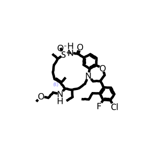 CCCc1c(C2COc3ccc4cc3N(CCC(CC)C(NCCOC)/C(C)=C/CCC(C)[S+]([O-])NC4=O)C2)ccc(Cl)c1F